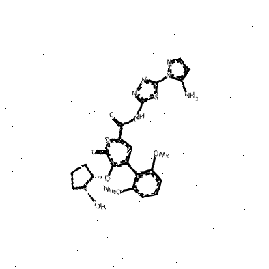 COc1cccc(OC)c1-c1cc(C(=O)Nc2nnc(-n3nccc3N)s2)oc(=O)c1O[C@H]1CCC[C@@H]1O